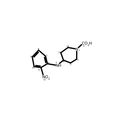 O=C(O)N1CCC(Nc2ccccc2[N+](=O)[O-])CC1